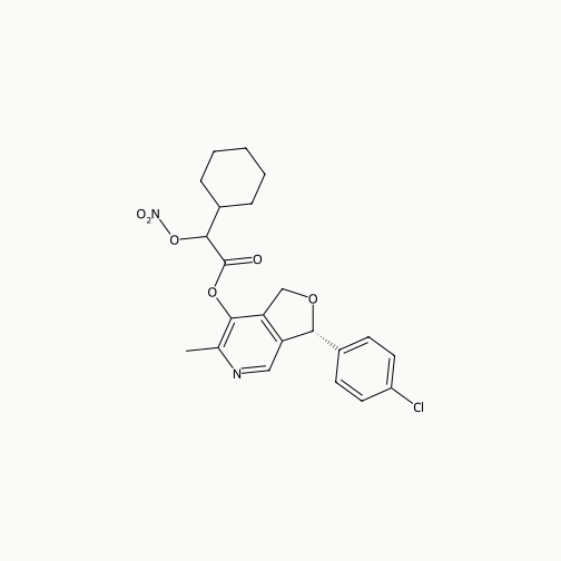 Cc1ncc2c(c1OC(=O)C(O[N+](=O)[O-])C1CCCCC1)CO[C@@H]2c1ccc(Cl)cc1